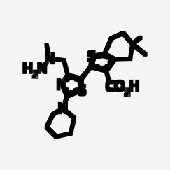 CN(N)Cc1nc(N2CCCCC2)sc1-c1sc2c(c1C(=O)O)CC(C)(C)CC2